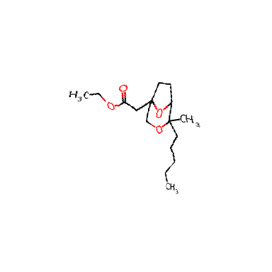 CCCCCC1(C)OCC2(CC(=O)OCC)CCC1O2